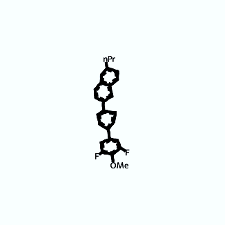 CCCc1ccc2cc(-c3ccc(-c4cc(F)c(OC)c(F)c4)cc3)ccc2c1